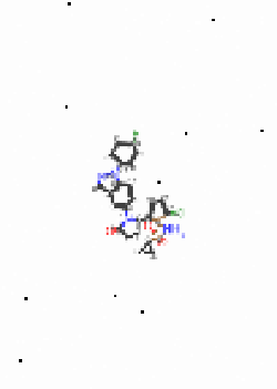 NS(=O)(=O)C1([C@@H]2CC(=O)N(c3ccc4c(cnn4-c4ccc(F)cc4)c3)[C@H]2c2ccc(Cl)s2)CC1